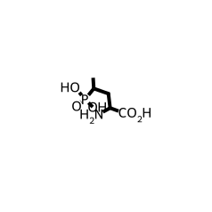 CC(CC(N)C(=O)O)P(=O)(O)O